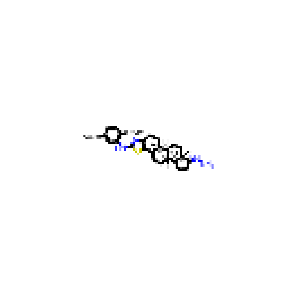 COc1ccc(OC)c(Nc2nc3c(s2)C2=CC[C@@H]4[C@H](CC[C@]5(C)/C(=N/N)CC[C@@H]45)[C@@]2(C)CC3)c1